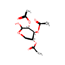 CC(=O)O[C@H]1[C@H](OC(C)=O)COC(O)[C@@H]1OC(C)=O